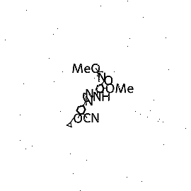 COc1cc(Nc2nccc(-c3ccc(OCC4CC4)c(C#N)c3)n2)ccc1C(=O)N1CC(OC)C1